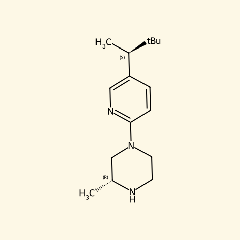 C[C@@H]1CN(c2ccc([C@@H](C)C(C)(C)C)cn2)CCN1